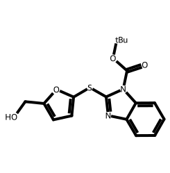 CC(C)(C)OC(=O)n1c(Sc2ccc(CO)o2)nc2ccccc21